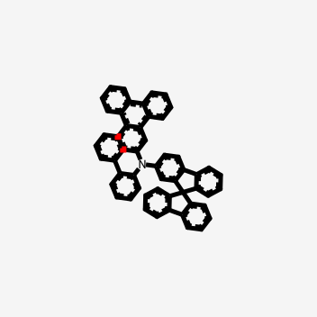 c1ccc(-c2ccccc2N(c2ccc3c(c2)C2(c4ccccc4-c4ccccc42)c2ccccc2-3)c2ccc3c4ccccc4c4ccccc4c3c2)cc1